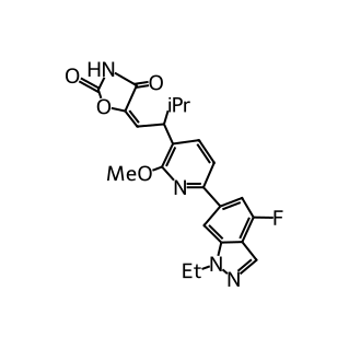 CCn1ncc2c(F)cc(-c3ccc(C(C=C4OC(=O)NC4=O)C(C)C)c(OC)n3)cc21